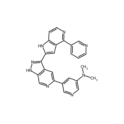 CN(C)c1cncc(-c2cc3c(-c4cc5c(-c6cccnc6)nccc5[nH]4)n[nH]c3cn2)c1